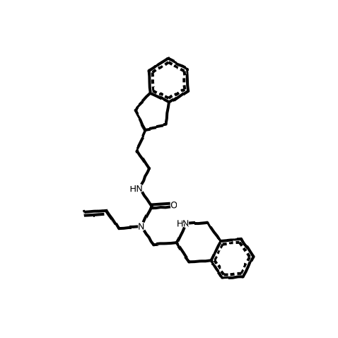 C=CCN(CC1Cc2ccccc2CN1)C(=O)NCCC1Cc2ccccc2C1